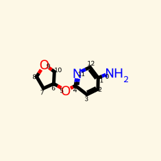 Nc1ccc(OC2CCOC2)nc1